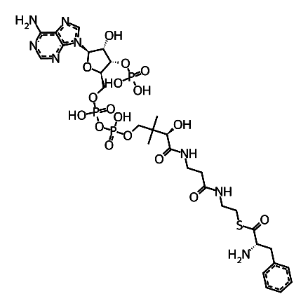 CC(C)(COP(=O)(O)OP(=O)(O)OC[C@H]1O[C@@H](n2cnc3c(N)ncnc32)[C@H](O)[C@@H]1OP(=O)(O)O)[C@@H](O)C(=O)NCCC(=O)NCCSC(=O)[C@@H](N)Cc1ccccc1